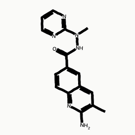 Cc1cc2cc(C(=O)NN(C)c3ncccn3)ccc2nc1N